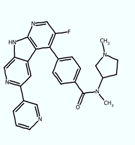 CN1CCC(N(C)C(=O)c2ccc(-c3c(F)cnc4[nH]c5cnc(-c6cccnc6)cc5c34)cc2)C1